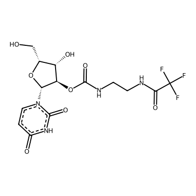 O=C(NCCNC(=O)C(F)(F)F)O[C@@H]1[C@@H](O)[C@@H](CO)O[C@H]1n1ccc(=O)[nH]c1=O